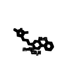 CC(C)NC(=O)O.COc1ccccc1N1CCN(CCCc2cc(C)sc2C)CC1